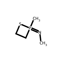 CN=P1(C)CCS1